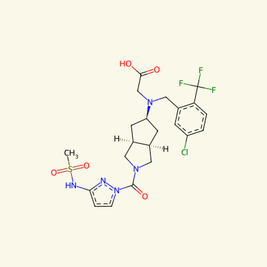 CS(=O)(=O)Nc1ccn(C(=O)N2C[C@H]3C[C@@H](N(CC(=O)O)Cc4cc(Cl)ccc4C(F)(F)F)C[C@H]3C2)n1